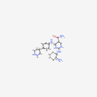 NC(=O)c1cnc(N[C@@H]2CCCC[C@@H]2N)nc1Nc1ccc(-c2ccnnc2)cc1